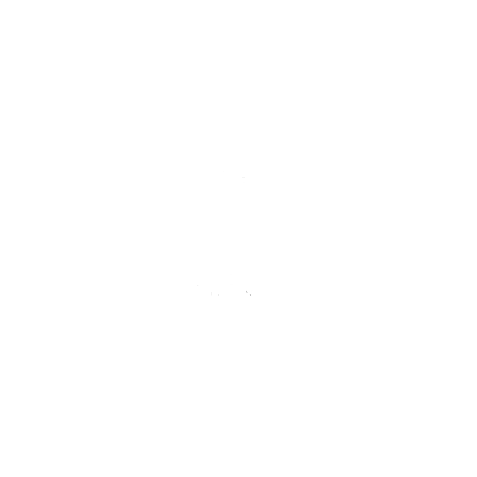 CCOC(=O)/C=C\c1ccc(OCCN(C)C(=O)OC(C)(C)C)cc1